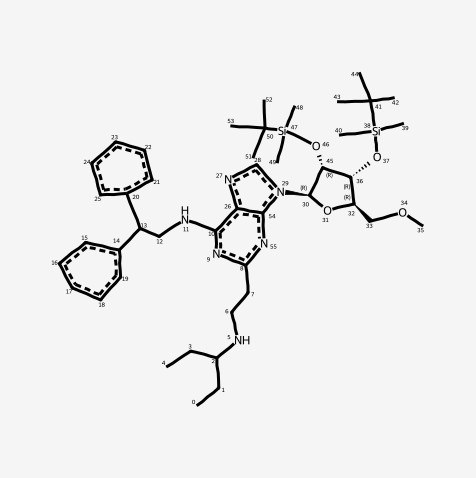 CCC(CC)NCCc1nc(NCC(c2ccccc2)c2ccccc2)c2ncn([C@@H]3O[C@H](COC)[C@@H](O[Si](C)(C)C(C)(C)C)[C@H]3O[Si](C)(C)C(C)(C)C)c2n1